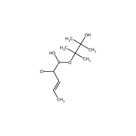 C/C=C/C(Cl)B(O)OC(C)(C)C(C)(C)O